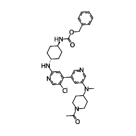 CC(=O)N1CCC(N(C)c2cncc(-c3cc(N[C@H]4CC[C@H](NC(=O)OCc5ccccc5)CC4)ncc3Cl)c2)CC1